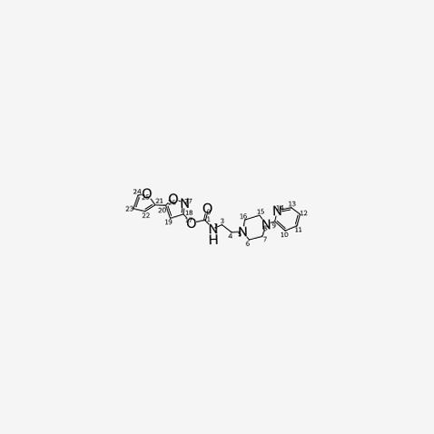 O=C(NCCN1CCN(c2ccccn2)CC1)Oc1cc(-c2ccco2)on1